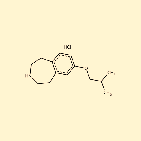 CC(C)COc1ccc2c(c1)CCNCC2.Cl